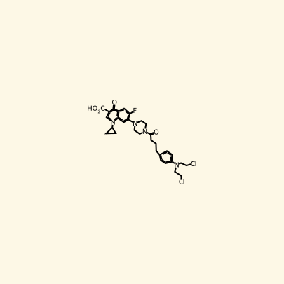 O=C(O)c1cn(C2CC2)c2cc(N3CCN(C(=O)CCCc4ccc(N(CCCl)CCCl)cc4)CC3)c(F)cc2c1=O